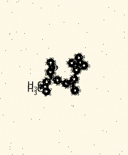 CC1(C)c2ccccc2-c2cc(N(c3ccc(-c4ccc5c(c4)c4cc(-c6ccc(C7(c8ccccc8)c8ccccc8-c8ccccc87)cc6)ccc4n5-c4ccccc4)cc3)c3ccc4c(c3)oc3ccccc34)ccc21